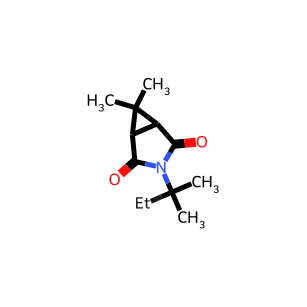 CCC(C)(C)N1C(=O)C2C(C1=O)C2(C)C